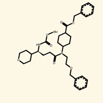 CC(C)(C)OC(=O)N[C@@H](CCC(=O)N(CCOCc1ccccc1)C1CCC(C(=O)OCc2ccccc2)CC1)C1CCOCC1